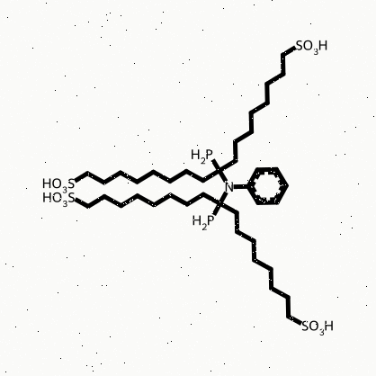 O=S(=O)(O)CCCCCCCCC(P)(CCCCCCCCS(=O)(=O)O)N(c1ccccc1)C(P)(CCCCCCCCS(=O)(=O)O)CCCCCCCCS(=O)(=O)O